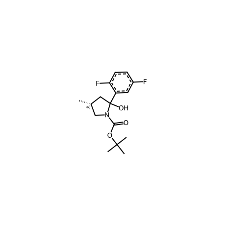 C[C@H]1CN(C(=O)OC(C)(C)C)C(O)(c2cc(F)ccc2F)C1